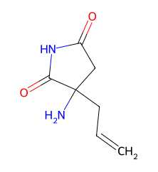 C=CCC1(N)CC(=O)NC1=O